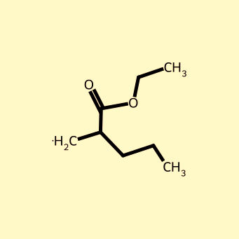 [CH2]C(CCC)C(=O)OCC